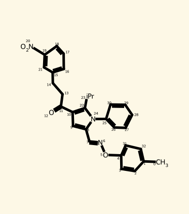 Cc1ccc(O/N=C/c2cc(C(=O)CCc3cccc([N+](=O)[O-])c3)c(C(C)C)n2-c2ccccc2)cc1